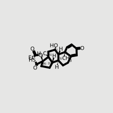 CCC(=O)O[C@]1(C(=O)S)CC[C@H]2[C@@H]3CCC4=CC(=O)C=C[C@]4(C)[C@H]3[C@@H](O)C[C@@]21C